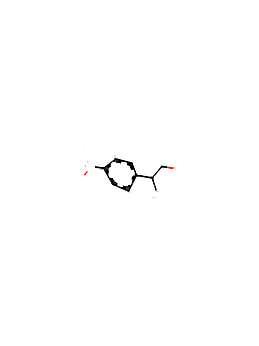 CCC(CO)c1ccc(B(O)O)cc1